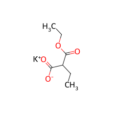 CCOC(=O)C(CC)C(=O)[O-].[K+]